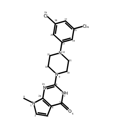 Cn1ccc2c(=O)[nH]c(N3CCN(c4cc(Cl)cc(Cl)c4)CC3)nc21